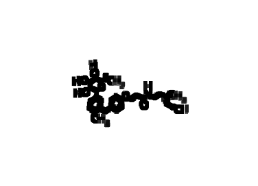 C#CCN(C)CCNC(=O)CCOc1ccc(Cc2cc([C@@H]3O[C@H](SC)[C@@H](O)[C@H](O)[C@H]3O)ccc2C)cc1